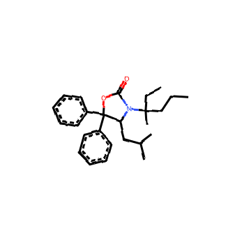 CCCC(C)(CC)N1C(=O)OC(c2ccccc2)(c2ccccc2)C1CC(C)C